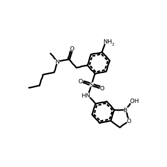 CCCCN(C)C(=O)Cc1cc(N)ccc1S(=O)(=O)Nc1ccc2c(c1)B(O)OC2